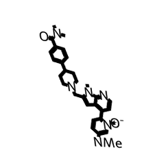 CNc1ccc(-c2ccnc3c2cc(CN2CCC(c4ccc(C(=O)N(C)C)cc4)CC2)n3C)[n+]([O-])c1